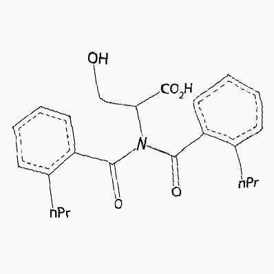 CCCc1ccccc1C(=O)N(C(=O)c1ccccc1CCC)C(CO)C(=O)O